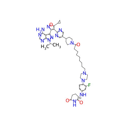 CC(C)n1nc(-c2noc(C3CC3)c2-c2ncc(C3CCN(C(=O)CCCCCCCCN4CCN(c5ccc(N[C@H]6CCC(=O)NC6=O)cc5F)CC4)CC3)cn2)c2c(N)ncnc21